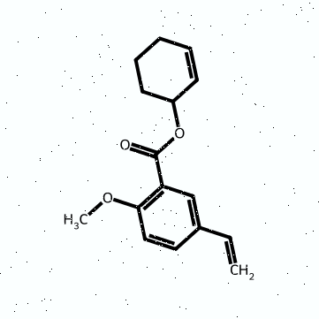 C=Cc1ccc(OC)c(C(=O)OC2C=CCCC2)c1